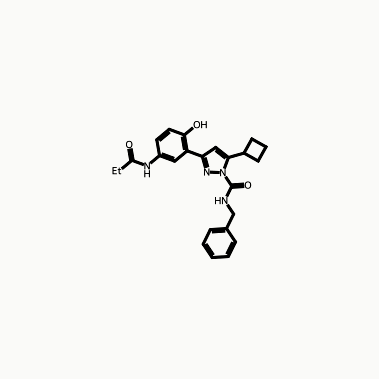 CCC(=O)Nc1ccc(O)c(-c2cc(C3CCC3)n(C(=O)NCc3ccccc3)n2)c1